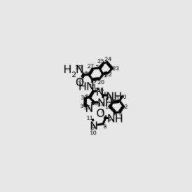 Cc1ccc(NC(=O)CN(C)C)cc1Nc1nc(Nc2cc3ccccc3cc2C(N)=O)c2ccnc-2[nH]1